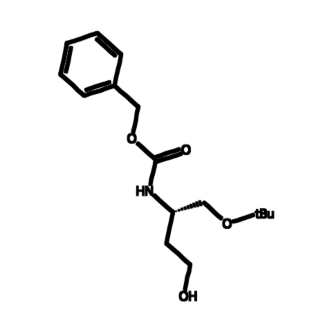 CC(C)(C)OC[C@H](CCO)NC(=O)OCc1ccccc1